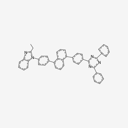 CCc1nc2ccccc2n1-c1ccc(-c2cccc3c(-c4ccc(-c5nc(-c6ccccc6)nc(-c6ccccc6)n5)cc4)cccc23)cc1